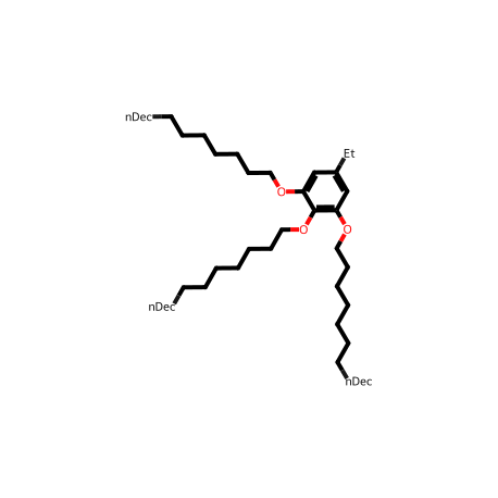 [CH2]Cc1cc(OCCCCCCCCCCCCCCCCC)c(OCCCCCCCCCCCCCCCCC)c(OCCCCCCCCCCCCCCCCC)c1